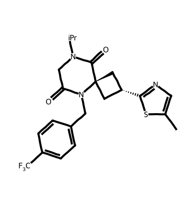 Cc1cnc([C@H]2C[C@]3(C2)C(=O)N(C(C)C)CC(=O)N3Cc2ccc(C(F)(F)F)cc2)s1